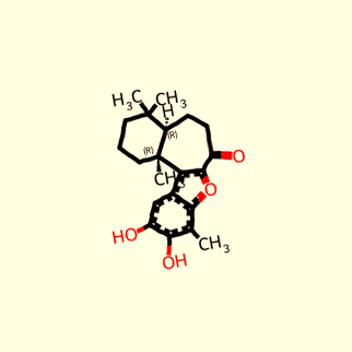 Cc1c(O)c(O)cc2c3c(oc12)C(=O)CC[C@@H]1C(C)(C)CCC[C@@]31C